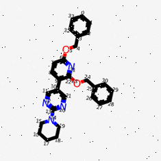 c1ccc(COc2ccc(-c3cnc(N4CCCCC4)nc3)c(OCc3ccccc3)n2)cc1